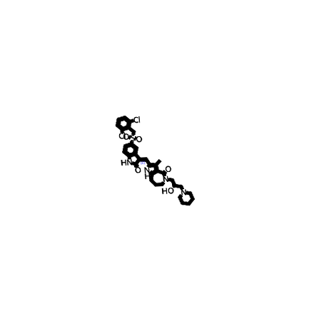 Cc1c(/C=C2\C(=O)Nc3ccc(S(=O)(=O)Cc4c(Cl)cccc4Cl)cc32)[nH]c2c1C(=O)N(C[C@H](O)CN1CCCCC1)CCC2